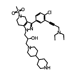 CCN(CC)CC#Cc1cc(-c2nn(C[C@@H](O)CN3CCC(C4CCNCC4)CC3)c3c2CN(S(C)(=O)=O)CC3)ccc1Cl